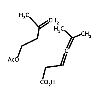 C=C(C)CCOC(C)=O.CC(C)=C=CCC(=O)O